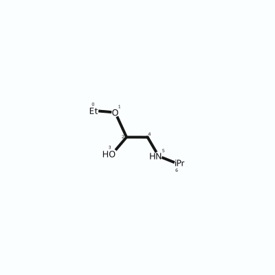 CCOC(O)CNC(C)C